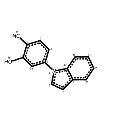 N#Cc1ccc(-n2ccc3ccccc32)cc1O